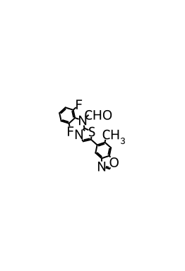 Cc1cc2ocnc2cc1-c1cnc(N(C=O)c2c(F)cccc2F)s1